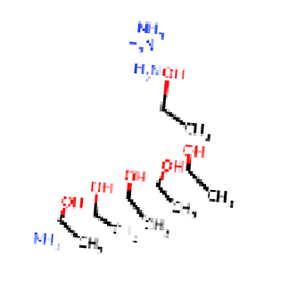 CCO.CCO.CCO.CCO.CCO.CCO.N.N.N.N